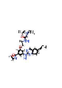 C#Cc1ccc2nc(Nc3cc(OCCNC(=O)CN(C)C)cc(-c4ncco4)c3)ncc2c1